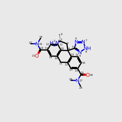 C[C@@H](N)CC1(c2nn[nH]n2)c2ccc(C(=O)N(C)C)cc2Cc2cc(C(=O)N(C)C)ccc21